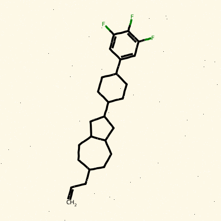 C=CCC1CCC2CC(C3CCC(c4cc(F)c(F)c(F)c4)CC3)CC2CC1